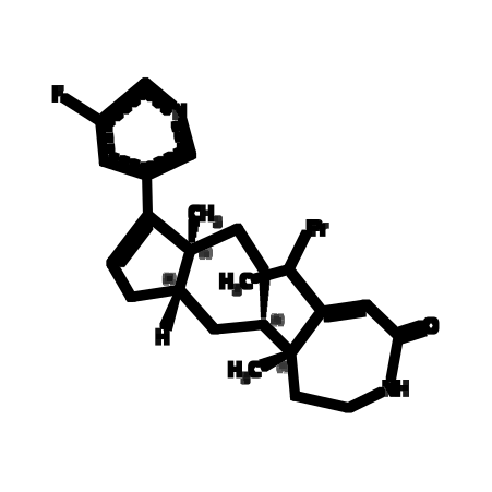 CC(C)C(C)C1=CC(=O)NCC[C@]1(C)[C@H]1CC[C@]2(C)C(c3cncc(F)c3)=CC[C@H]2C1